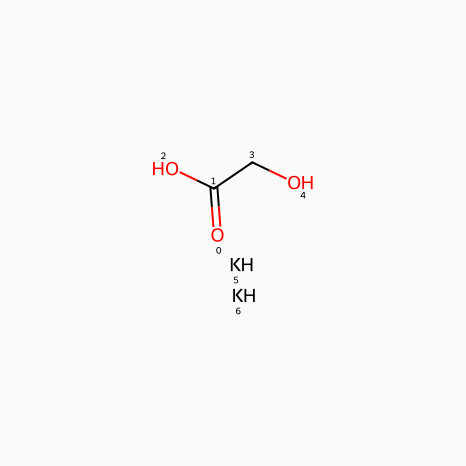 O=C(O)CO.[KH].[KH]